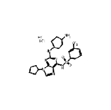 Cl.Cl.NC1CCC(Nc2nc(NS(=O)(=O)c3cccc(C(F)(F)F)c3)c3ncn(C4CCCC4)c3n2)CC1